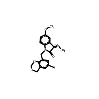 O=C1/C(=N\O)c2cc(OC(F)(F)F)ccc2N1Cc1cc(F)cc2c1OCOC2